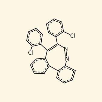 Clc1ccccc1C1=C(c2ccccc2Cl)c2ccccc2-c2ccccc2/N=N\1